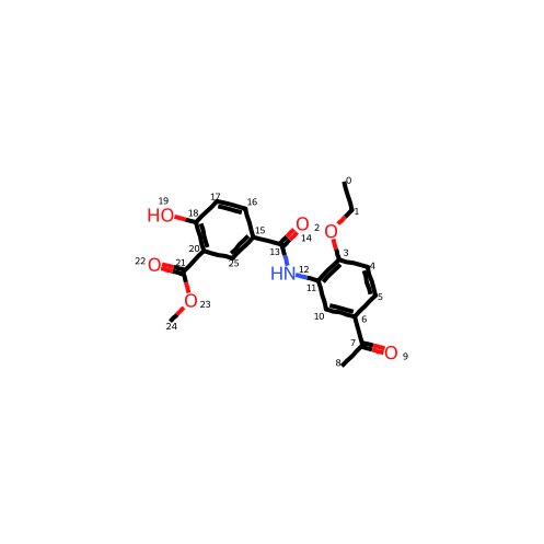 CCOc1ccc(C(C)=O)cc1NC(=O)c1ccc(O)c(C(=O)OC)c1